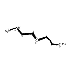 COCCOCCNN